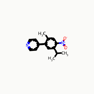 Cc1cc([N+](=O)[O-])c(C(C)C)cc1-c1ccncc1